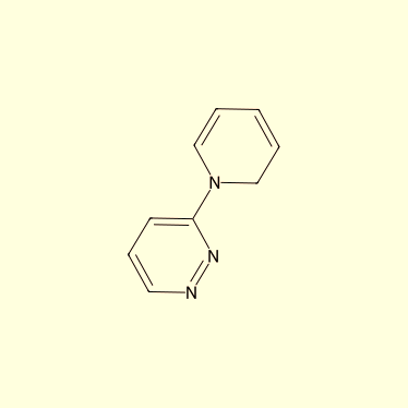 C1=CCN(c2cccnn2)C=C1